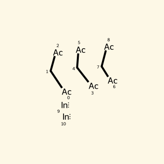 CC(=O)CC(C)=O.CC(=O)CC(C)=O.CC(=O)CC(C)=O.[In].[In]